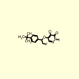 CC(C)(C)c1ccc(C(CF)Oc2cnn(I)c(=O)c2Cl)cc1